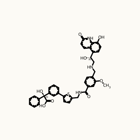 COc1cc(C(=O)NCc2ccc(-c3cccc([C@](O)(C(=O)O)c4ccccc4)c3)s2)ccc1CNC[C@H](O)c1ccc(O)c2[nH]c(=O)ccc12